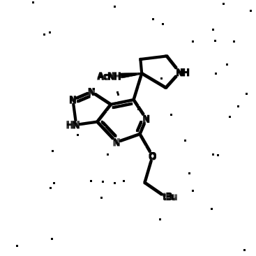 CC(=O)N[C@@]1(c2nc(OCC(C)(C)C)nc3[nH]nnc23)CCNC1